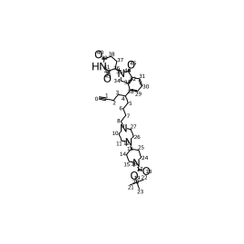 C#CCCC(CCCCN1CCN(C2CCN(C(=O)OC(C)(C)C)CC2)CC1)c1cccc2c1CN(C1CCC(=O)NC1=O)C2=O